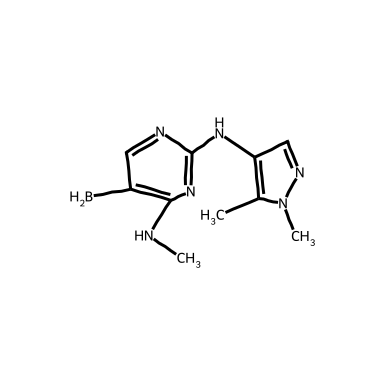 Bc1cnc(Nc2cnn(C)c2C)nc1NC